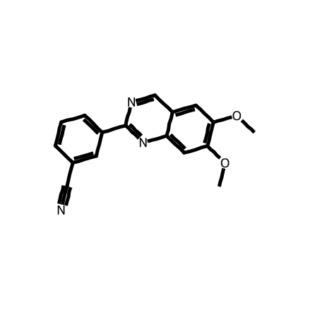 COc1cc2cnc(-c3cccc(C#N)c3)nc2cc1OC